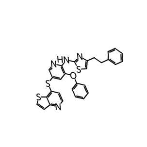 c1ccc(CCc2csc(Nc3ncc(Sc4ccnc5ccsc45)cc3Oc3ccccc3)n2)cc1